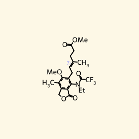 CCN(C(=O)C(F)(F)F)c1c(C/C=C(\C)CCC(=O)OC)c(OC)c(C)c2c1C(=O)OC2